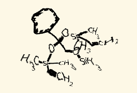 C=C[Si](C)(C)OC(CO[SiH3])(O[Si](C)(C)C=C)c1ccccc1